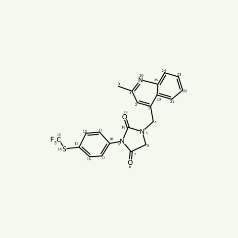 Cc1cc(CN2CC(=O)N(c3ccc(SC(F)(F)F)cc3)C2=O)c2ccccc2n1